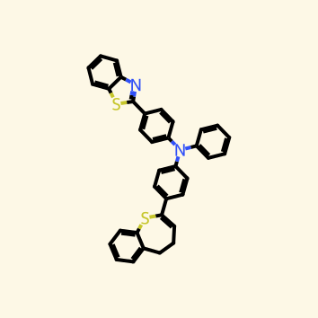 C1=C(c2ccc(N(c3ccccc3)c3ccc(-c4nc5ccccc5s4)cc3)cc2)Sc2ccccc2CC1